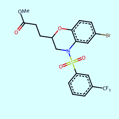 COC(=O)CCC1CN(S(=O)(=O)c2cccc(C(F)(F)F)c2)c2cc(Br)ccc2O1